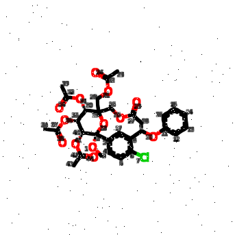 CO[C@@]1(c2ccc(Cl)c(COc3ccccc3)c2)OC(COC(C)=O)(COC(C)=O)[C@@H](OC(C)=O)[C@H](OC(C)=O)[C@H]1OC(C)=O